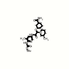 Cc1cc(NC(=O)C(=O)N2C[C@H](C)CC[C@H]2C2CCC(C(N)=O)CC2)cnc1NC(=O)OC(C)(C)C